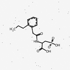 CCCc1ccccc1CC(=O)NC(CS(=O)(=O)O)C(=O)O